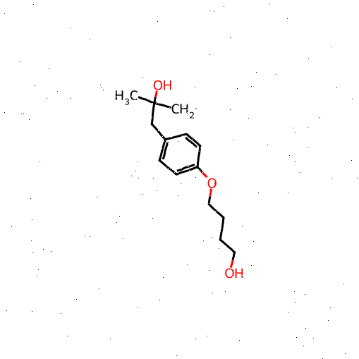 [CH2]C(C)(O)Cc1ccc(OCCCCO)cc1